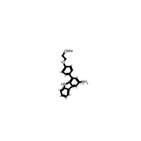 COCCOc1ccc(-c2cc(N)cc3c2[nH]c2ccccc23)cc1